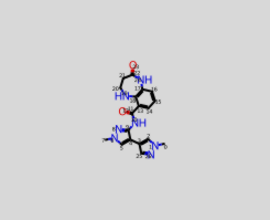 Cn1cc(-c2cn(C)nc2NC(=O)c2cccc3c2NCCC(=O)N3)cn1